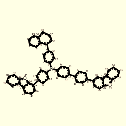 c1ccc2c(-c3ccc(N(c4ccc(-c5ccc(-c6ccc7oc8ccccc8c7c6)cc5)cc4)c4ccc(-c5cccc6c5oc5ccccc56)cc4)cc3)cccc2c1